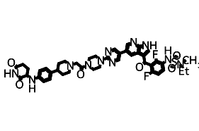 CCN(C)S(=O)(=O)Nc1ccc(F)c(C(=O)c2c[nH]c3ncc(-c4cnc(N5CCN(C(=O)CN6CCC(c7ccc(NC8CCC(=O)NC8=O)cc7)CC6)CC5)nc4)cc23)c1F